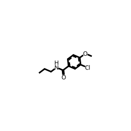 CCCNC(=O)c1ccc(OC)c(Cl)c1